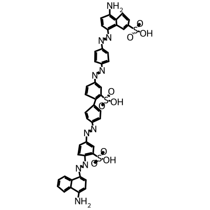 Nc1ccc(N=Nc2ccc(N=Nc3ccc(-c4ccc(N=Nc5ccc(N=Nc6ccc(N)c7ccccc67)c(S(=O)(=O)O)c5)cc4)c(S(=O)(=O)O)c3)cc2)c2cc(S(=O)(=O)O)ccc12